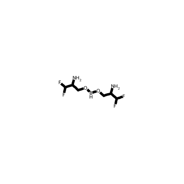 NC(COBOCC(N)C(F)F)C(F)F